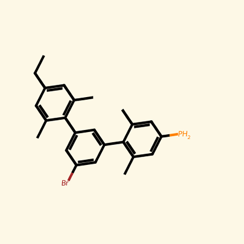 CCc1cc(C)c(-c2cc(Br)cc(-c3c(C)cc(P)cc3C)c2)c(C)c1